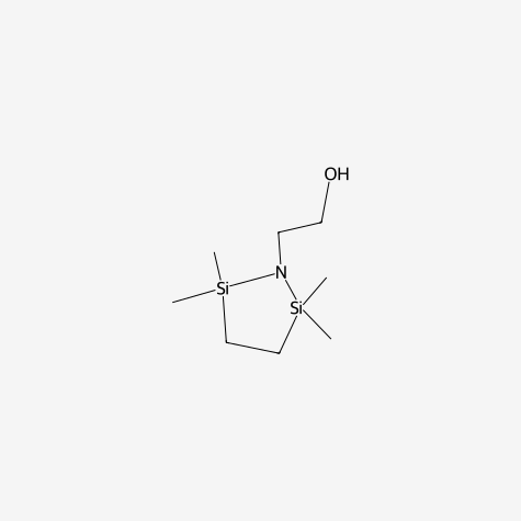 C[Si]1(C)CC[Si](C)(C)N1CCO